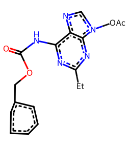 CCc1nc(NC(=O)OCc2ccccc2)c2ncn(OC(C)=O)c2n1